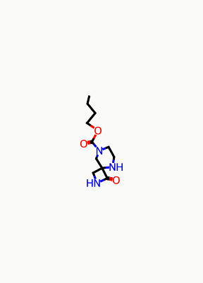 CCCCOC(=O)N1CCNC2(CNC2=O)C1